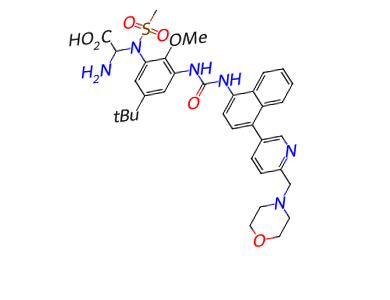 COc1c(NC(=O)Nc2ccc(-c3ccc(CN4CCOCC4)nc3)c3ccccc23)cc(C(C)(C)C)cc1N(C(N)C(=O)O)S(C)(=O)=O